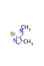 C/N=C/c1c(C)ccnc1Br